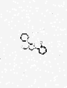 O=CN1CC(c2ccccc2Cl)N=C1N1CCCCC1